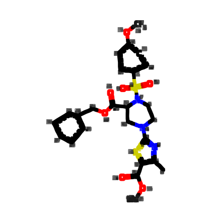 Cc1nc(N2CCN(S(=O)(=O)c3ccc(OC(F)(F)F)cc3)C(C(=O)OCc3ccccc3)C2)sc1C(=O)OC(C)(C)C